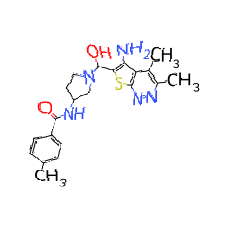 Cc1ccc(C(=O)NC2CCN(C(O)c3sc4nnc(C)c(C)c4c3N)C2)cc1